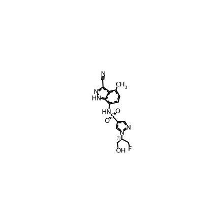 Cc1ccc(NS(=O)(=O)c2cnn([C@H](CO)CF)c2)c2[nH]nc(C#N)c12